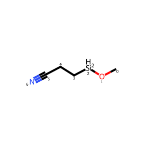 CO[SiH2]CCC#N